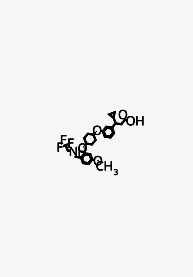 COc1ccc(CNCC(F)(F)F)c(O[C@H]2CC[C@@H](Oc3cccc(C(CC(=O)O)C4CC4)c3)CC2)c1